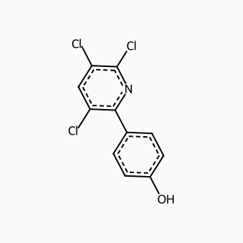 Oc1ccc(-c2nc(Cl)c(Cl)cc2Cl)cc1